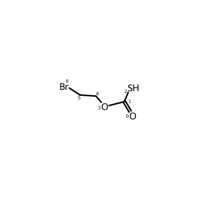 O=C(S)OCCBr